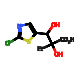 CCC(O)(C(=O)O)C(O)c1cnc(Cl)s1